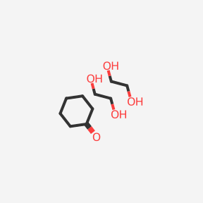 O=C1CCCCC1.OCCO.OCCO